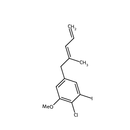 C=C/C=C(\C)Cc1cc(I)c(Cl)c(OC)c1